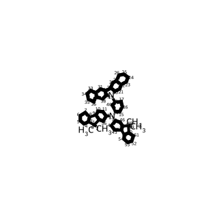 CC1(C)c2ccccc2-c2ccc(N(c3cccc(-n4c5cc6ccccc6cc5c5cc6ccccc6cc54)c3)c3ccc4c(c3)C(C)(C)c3ccccc3-4)cc21